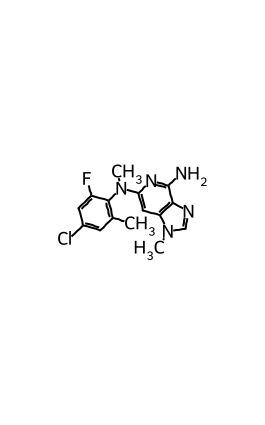 Cc1cc(Cl)cc(F)c1N(C)c1cc2c(ncn2C)c(N)n1